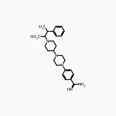 CC(c1ccccc1)C(C(=O)O)N1CCC(N2CCN(c3ccc(C(=N)N)cc3)CC2)CC1